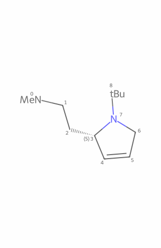 CNCC[C@H]1C=CCN1C(C)(C)C